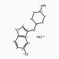 CCCN1CCC(Oc2noc3ccc(Cl)cc23)CC1.Cl